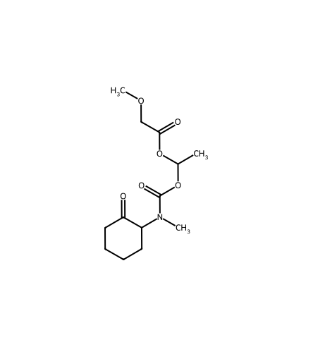 COCC(=O)OC(C)OC(=O)N(C)C1CCCCC1=O